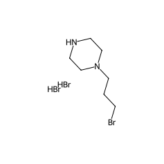 Br.Br.BrCCCN1CCNCC1